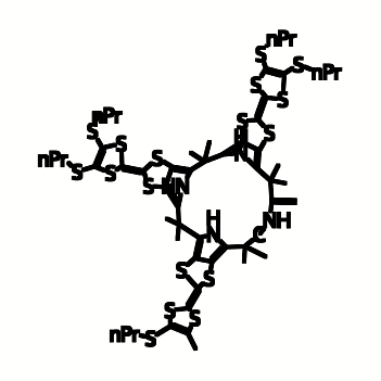 C=C1NCC(C)(C)c2[nH]c(c3c2S/C(=C2\SC(C)=C(SCCC)S2)S3)C(C)(C)c2[nH]c(c3c2SC(=C2SC(SCCC)=C(SCCC)S2)S3)C(C)(C)c2[nH]c(c3c2SC(=C2SC(SCCC)=C(SCCC)S2)S3)C1(C)C